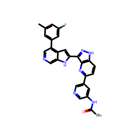 Cc1cc(F)cc(-c2cncc3[nH]c(-c4n[nH]c5ccc(-c6cncc(NC(=O)C(C)(C)C)c6)nc45)cc23)c1